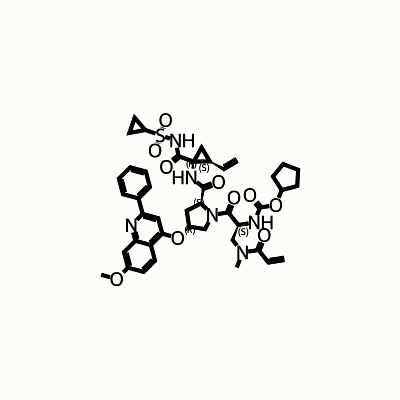 C=CC(=O)N(C)C[C@H](NC(=O)OC1CCCC1)C(=O)N1C[C@H](Oc2cc(-c3ccccc3)nc3cc(OC)ccc23)C[C@H]1C(=O)N[C@]1(C(=O)NS(=O)(=O)C2CC2)C[C@H]1C=C